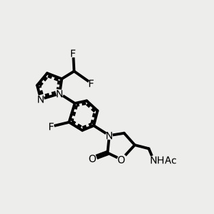 CC(=O)NCC1CN(c2ccc(-n3nccc3C(F)F)c(F)c2)C(=O)O1